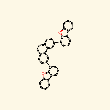 c1ccc2c(c1)oc1c(-c3ccc4ccc5ccc(-c6cccc7c6oc6ccccc67)cc5c4c3)cccc12